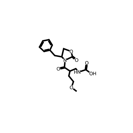 COCCC(CNC(=O)O)C(=O)N1C(=O)OCC1Cc1ccccc1